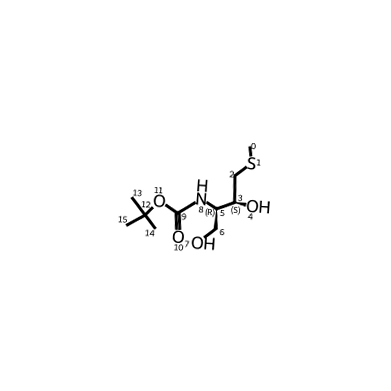 CSC[C@@H](O)[C@@H](CO)NC(=O)OC(C)(C)C